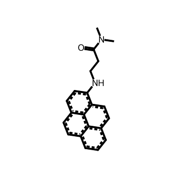 CN(C)C(=O)CCNc1ccc2ccc3cccc4ccc1c2c34